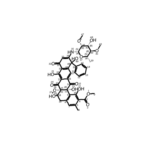 COC(=O)c1c(C)cc2c(c1O)[C@]1(O)C(=O)c3cc4c(c(O)c3C(=O)[C@]1(OC)[C@H](O)C2)C(=O)C=C(N[C@H]1O[C@@H](C)[C@H](OC)[C@@H](O)[C@H]1OC)C4(O)c1ccccc1